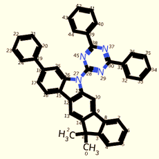 CC1(C)c2ccccc2-c2cc3c(cc21)c1ccc(-c2ccccc2)cc1n3-c1nc(-c2ccccc2)nc(-c2ccccc2)n1